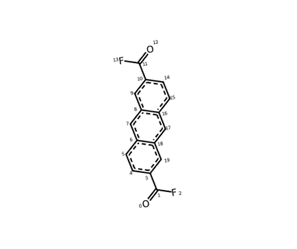 O=C(F)c1ccc2cc3cc(C(=O)F)ccc3cc2c1